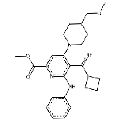 COCC1CCN(c2cc(C(=O)OC)nc(Nc3ccccc3)c2C(=N)C2CCC2)CC1